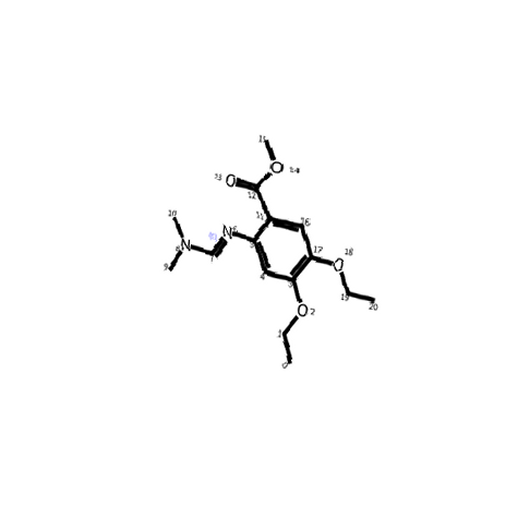 CCOc1cc(/N=C/N(C)C)c(C(=O)OC)cc1OCC